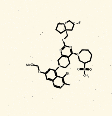 CCc1c(F)ccc2cc(OCOC)cc(N3CCc4c(nc(OC[C@@]56CCCN5C[C@H](F)C6)nc4N4CCCCC(S(C)(=O)=O)C4)C3)c12